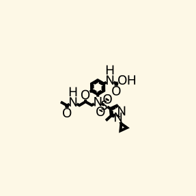 CC(=O)NCC1CN(S(=O)(=O)c2cnn(C3CC3)c2C)c2cc(NC(=O)O)ccc2O1